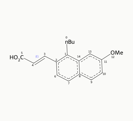 CCCCc1c(/C=C/C(=O)O)ccc2ccc(OC)cc12